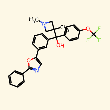 CN1CC(C)([C@](O)(c2ccc(OC(F)(F)F)cc2)c2cccc(-c3cnc(-c4ccccc4)o3)c2)C1